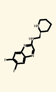 Fc1cc2ncc(NC[C@@H]3CCCCN3)nc2cc1F